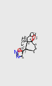 CCC1(C)C(=O)CCCC1c1cnno1